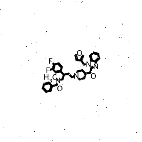 CN(CC(CCN1CCC(C(=O)c2nc3ccccc3n2Cc2ccoc2)CC1)c1ccc(F)c(F)c1)C(=O)c1ccccc1